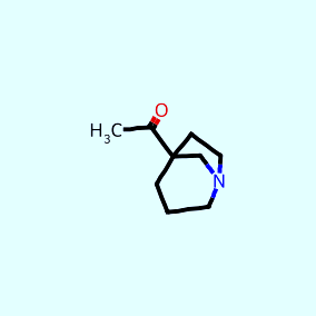 CC(=O)C12CCCN(CC1)C2